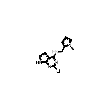 Cn1cccc1CNc1nc(Cl)nc2[nH]ccc12